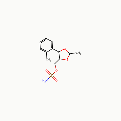 Cc1ccccc1C1OC(C)OC1COS(N)(=O)=O